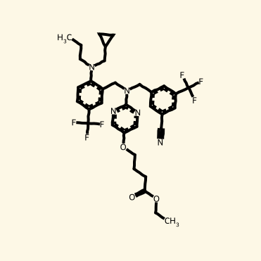 CCCN(CC1CC1)c1ccc(C(F)(F)F)cc1CN(Cc1cc(C#N)cc(C(F)(F)F)c1)c1ncc(OCCCC(=O)OCC)cn1